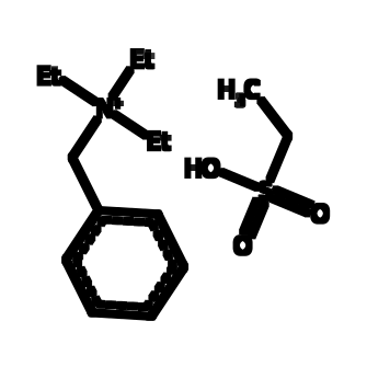 CCS(=O)(=O)O.CC[N+](CC)(CC)Cc1ccccc1